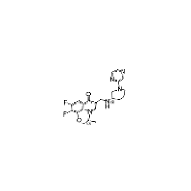 C[C@H]1COc2c(F)c(F)cc3c(=O)c(CN[C@H]4CCCN(c5cnccn5)C4)cn1c23